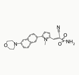 Cn1c(/C=C(\C#N)S(N)(=O)=O)ccc1-c1ccc2cc(N3CCOCC3)ccc2c1